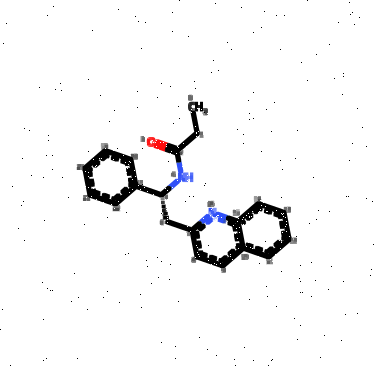 CCC(=O)N[C@H](Cc1ccc2ccccc2n1)c1ccccc1